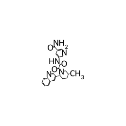 C[C@@H]1CC[C@@H](c2cnc3ccccc3c2)N(C(=O)C(=O)Nc2cncc(C(N)=O)c2)C1